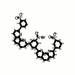 O=[N+]([O-])c1cccc(-c2ccc3ccc4ccc(-c5cc(-c6ccc7ccc8ccc(-c9cccc([N+](=O)[O-])c9)nc8c7n6)cc([N+](=O)[O-])c5)nc4c3n2)c1